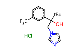 CC(C)(C)C(O)(Cn1ccnc1)c1cccc(C(F)(F)F)c1.Cl